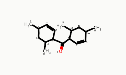 CC1C=CC(C(=O)C2C=CC(C)CC2C)C(C)C1